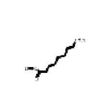 CCCCCCCCCCCCCC(=O)OCl